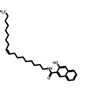 CCCCCCCC/C=C\CCCCCCCCNC(=O)c1cc2ccccc2cc1O